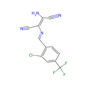 N#C/C(N)=C(C#N)\N=C\c1ccc(C(F)(F)F)cc1Cl